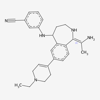 CCN1CC=C(c2ccc3c(c2)C(Nc2cccc(C#N)c2)CCN/C3=C(/C)N)CC1